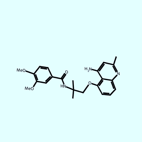 COc1ccc(C(=O)NC(C)(C)COc2cccc3nc(C)cc(N)c23)cc1OC